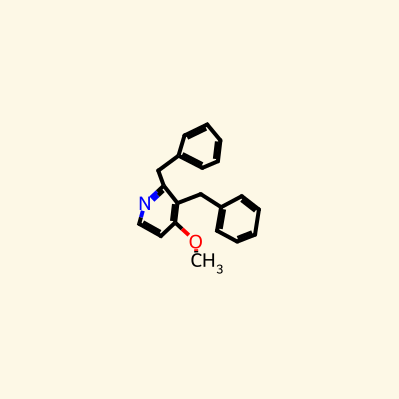 COc1ccnc(Cc2ccccc2)c1Cc1ccccc1